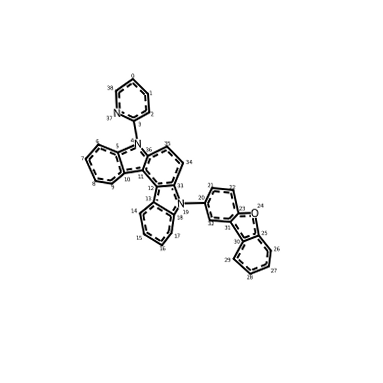 c1ccc(-n2c3ccccc3c3c4c5ccccc5n(-c5ccc6oc7ccccc7c6c5)c4ccc32)nc1